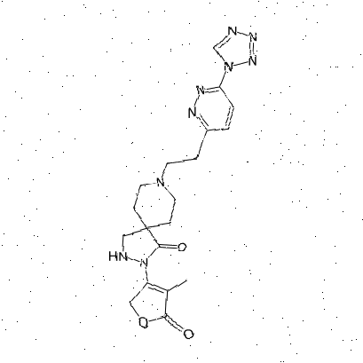 CC1=C(N2NCC3(CCN(CCc4ccc(-n5cnnn5)nn4)CC3)C2=O)COC1=O